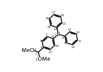 COC(OC)c1ccc(B(c2ccccc2)c2ccccc2)cc1